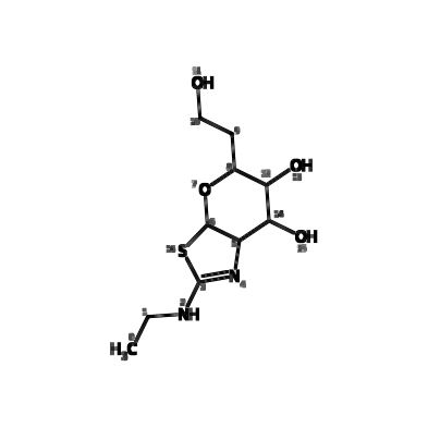 CCNC1=NC2C(OC(CCO)C(O)C2O)S1